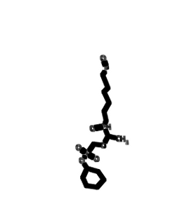 CC(OCS(=O)(=O)OC1CCCCC1)[PH](=O)CCCCCCP=O